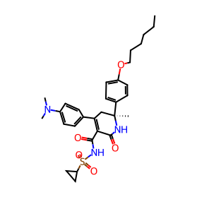 CCCCCCOc1ccc([C@]2(C)CC(c3ccc(N(C)C)cc3)=C(C(=O)NS(=O)(=O)C3CC3)C(=O)N2)cc1